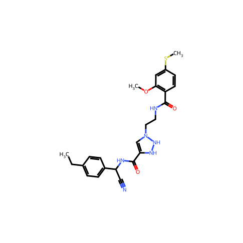 CCc1ccc(C(C#N)NC(=O)C2=CN(CCNC(=O)c3ccc(SC)cc3OC)NN2)cc1